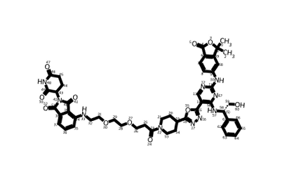 CC1(C)OC(=O)c2ccc(Nc3ncc(-c4nnc(C5CCN(C(=O)CCOCCOCCNc6cccc7c6C(=O)N(C6CCC(=O)NC6=O)C7=O)CC5)o4)c(N[C@H](CO)c4ccccc4)n3)cc21